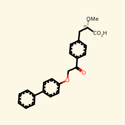 CO[C@@H](Cc1ccc(C(=O)COc2ccc(-c3ccccc3)cc2)cc1)C(=O)O